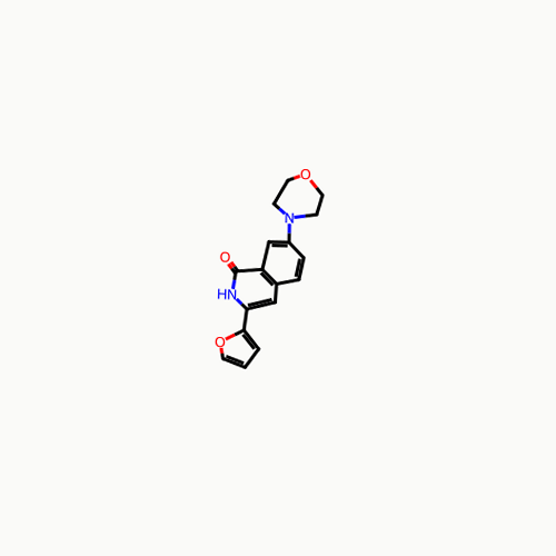 O=c1[nH]c(-c2ccco2)cc2ccc(N3CCOCC3)cc12